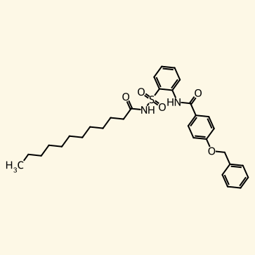 CCCCCCCCCCCC(=O)NS(=O)(=O)c1ccccc1NC(=O)c1ccc(OCc2ccccc2)cc1